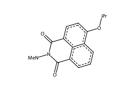 CNN1C(=O)c2cccc3c(OC(C)C)ccc(c23)C1=O